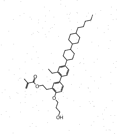 C=C(C)C(=O)OCCc1cc(-c2ccc(C3CCC(C4CCC(CCCCC)CC4)CC3)cc2CC)ccc1OCCCO